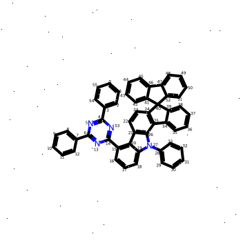 c1ccc(-c2nc(-c3ccccc3)nc(-c3cccc4c3c3ccc5c(c3n4-c3ccccc3)-c3ccccc3C53c4ccccc4-c4ccccc43)n2)cc1